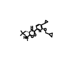 CNC(=O)[C@H](CC(C)(C)C)NC(=O)c1ccc(C2CC2)c(OCC2CC2)n1